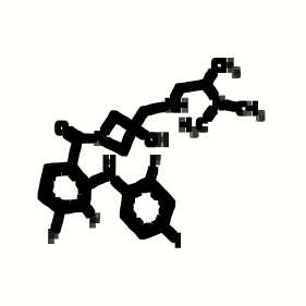 CC(CNCC1(O)CN(C(=O)c2ccc(F)c(F)c2Nc2ccc(I)cc2F)C1)N(C)C